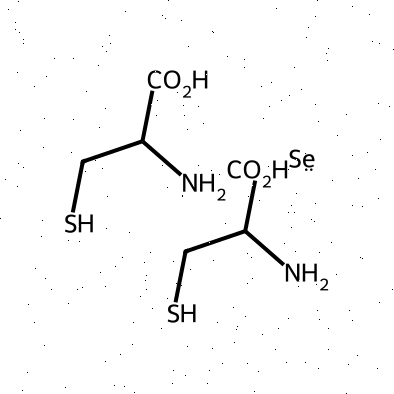 NC(CS)C(=O)O.NC(CS)C(=O)O.[Se]